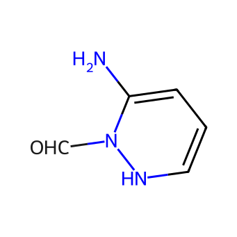 NC1=CC=CNN1C=O